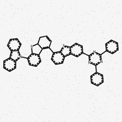 C1=CC(c2cccc3c2sc2ccc(-c4nc(-c5ccccc5)nc(-c5ccccc5)n4)cc23)=C2c3cccc(-n4c5ccccc5c5ccccc54)c3SC2C1